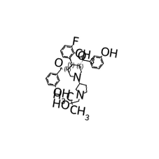 Cc1c(F)cccc1[C@@H]1[C@@H](C(=O)c2cccc(O)c2)CN(C2CCN(CC(C)(C)O)C2)C[C@H]1C(=O)c1cccc(O)c1